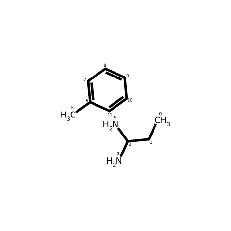 CCC(N)N.Cc1ccccc1